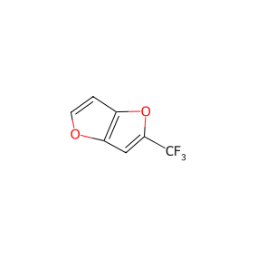 FC(F)(F)c1cc2occc2o1